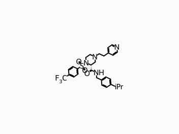 CC(C)c1ccc(CNC(=O)[C@H]2CN(CCc3ccncc3)CCN2S(=O)(=O)c2ccc(C(F)(F)F)cc2)cc1